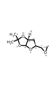 CC1(C)OC2O[C@H]([C@@H]3CO3)C[C@H]2O1